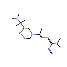 C=N/C(=C\C=C(/C)N1CCOC(C(C)(C)N(C)C)C1)C(C)C